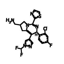 NCC1CC2=C(c3cnn(C(F)F)c3)[C@H](c3ccc(F)cc3Cl)N=C(c3nccs3)N2C1